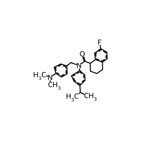 CC(C)c1ccc(N(Cc2ccc(N(C)C)cc2)C(=O)C2CCCc3ccc(F)cc32)cc1